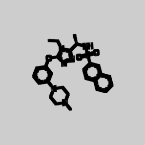 CCn1c(Oc2cccc(N3CCN(C)CC3)c2)nnc1[C@@H](C)NS(=O)(=O)c1ccc2ccccc2c1